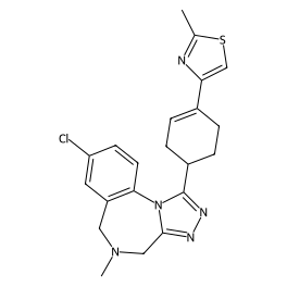 Cc1nc(C2=CCC(c3nnc4n3-c3ccc(Cl)cc3CN(C)C4)CC2)cs1